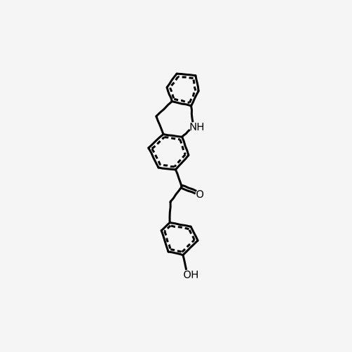 O=C(Cc1ccc(O)cc1)c1ccc2c(c1)Nc1ccccc1C2